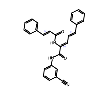 N#Cc1cccc(NC(=O)/C(=C/C=C/c2ccccc2)NC(=O)/C=C/c2ccccc2)c1